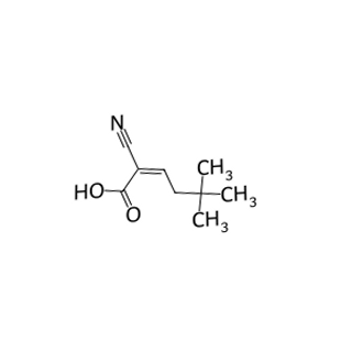 CC(C)(C)CC=C(C#N)C(=O)O